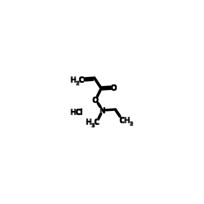 C=CC(=O)ON(C)CC.Cl